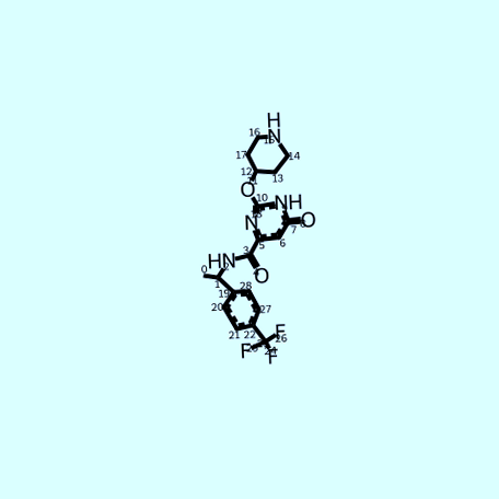 CC(NC(=O)c1cc(=O)[nH]c(OC2CCNCC2)n1)c1ccc(C(F)(F)F)cc1